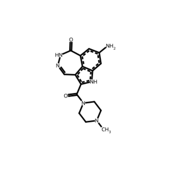 CN1CCN(C(=O)c2[nH]c3cc(N)cc4c3c2C=NNC4=O)CC1